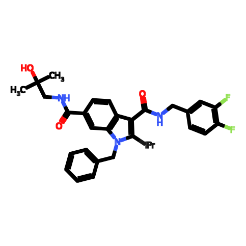 CC(C)c1c(C(=O)NCc2ccc(F)c(F)c2)c2ccc(C(=O)NCC(C)(C)O)cc2n1Cc1ccccc1